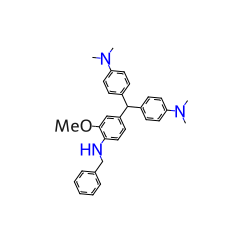 COc1cc(C(c2ccc(N(C)C)cc2)c2ccc(N(C)C)cc2)ccc1NCc1ccccc1